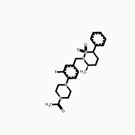 CC(=O)N1CCN(c2ccc(CN3[C@H](C)CCC(c4ccccc4)S3(=O)=O)cc2F)CC1